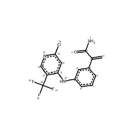 C=C(C(N)=O)c1cccc(Nc2cc(Cl)ncc2C(F)(F)F)c1